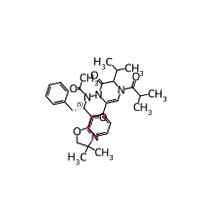 CC(=O)N([C@@H](Cc1ccccc1)C(=O)C1=NC(C)(C)CO1)N1C(=O)C(C(C)C)N(C(=O)C(C)C)C=C1c1ccccc1